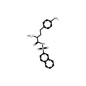 O=C(O)C(CCc1ccc([N+](=O)[O-])cc1)C(=O)NS(=O)(=O)c1ccc2ccccc2c1